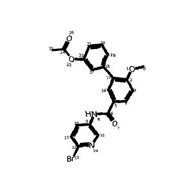 COc1ccc(C(=O)Nc2ccc(Br)nc2)cc1-c1cccc(OC(C)=O)c1